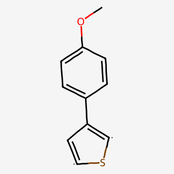 COc1ccc(-c2[c]s[c]c2)cc1